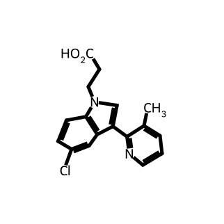 Cc1cccnc1-c1cn(CCC(=O)O)c2ccc(Cl)cc12